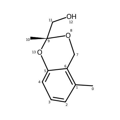 Cc1cccc2c1CO[C@@](C)(CO)O2